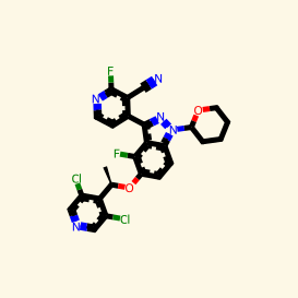 C[C@@H](Oc1ccc2c(c(-c3ccnc(F)c3C#N)nn2C2CCCCO2)c1F)c1c(Cl)cncc1Cl